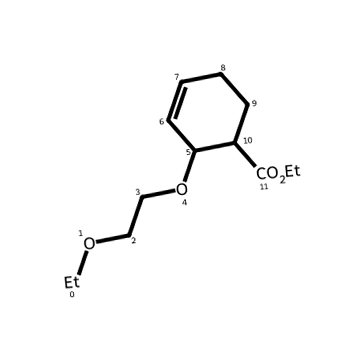 CCOCCOC1C=CCCC1C(=O)OCC